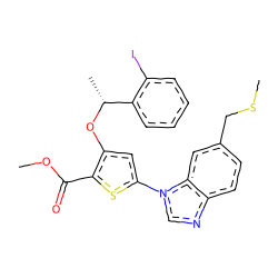 COC(=O)c1sc(-n2cnc3ccc(CSC)cc32)cc1O[C@H](C)c1ccccc1I